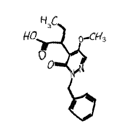 CCC(C(=O)O)c1c(OC)cnn(Cc2ccccc2)c1=O